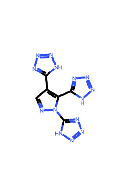 c1nn(-c2nnn[nH]2)c(-c2nnn[nH]2)c1-c1nnn[nH]1